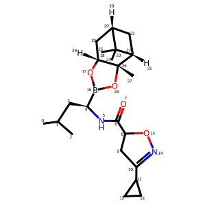 CC(C)C[C@H](NC(=O)C1CC(C2CC2)=NO1)B1O[C@@H]2C[C@@H]3C[C@@H](C3(C)C)[C@]2(C)O1